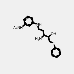 CC(=O)Nc1cccc(NCCC(N)C(O)COc2ccccc2)c1